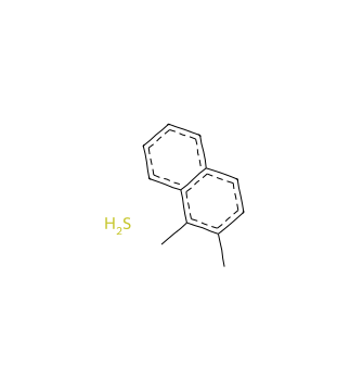 Cc1ccc2ccccc2c1C.S